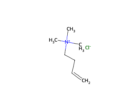 C=CCC[N+](C)(C)C.[Cl-]